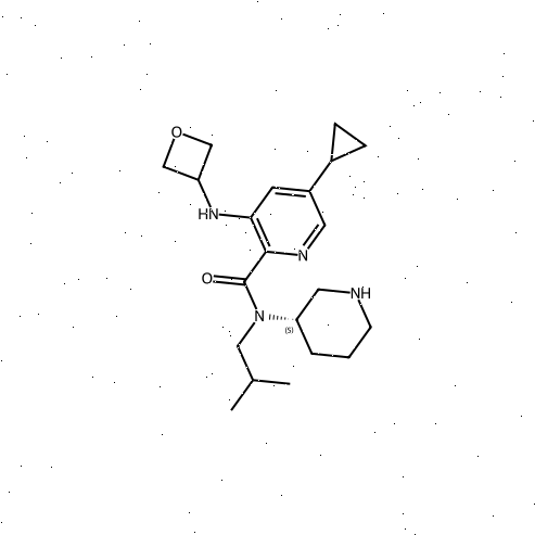 CC(C)CN(C(=O)c1ncc(C2CC2)cc1NC1COC1)[C@H]1CCCNC1